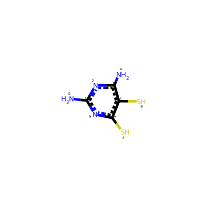 Nc1nc(N)c(S)c(S)n1